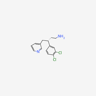 NCC[C@@H](Cc1cccnc1)c1ccc(Cl)c(Cl)c1